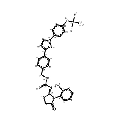 CC(C)c1ccccc1N1C(=O)CS/C1=N\C(=S)NCc1ccc(-c2ncn(-c3ccc(OC(F)(F)C(F)(F)F)cc3)n2)cc1